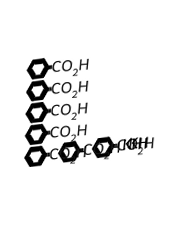 O=C(O)c1ccccc1.O=C(O)c1ccccc1.O=C(O)c1ccccc1.O=C(O)c1ccccc1.O=C(O)c1ccccc1.O=C(O)c1ccccc1.O=C(O)c1ccccc1.[KH].[KH]